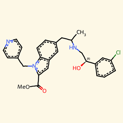 COC(=O)c1cc2cc(CC(C)NC[C@H](O)c3cccc(Cl)c3)ccc2n1Cc1ccncc1